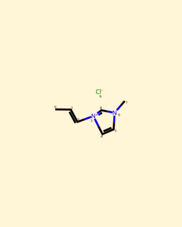 CC=C[n+]1ccn(C)c1.[Cl-]